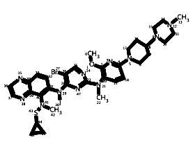 COc1nc(N2CCC(N3CCN(C)CC3)CC2)ccc1N(C)c1ncc(Br)c(N(I)c2ccc3nccnc3c2N(C)SC2CC2)n1